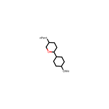 CCCCCC1CCC(C2CCC(OC)CC2)OC1